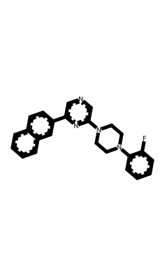 Fc1ccccc1N1CCN(c2cncc(-c3ccc4ccccc4c3)n2)CC1